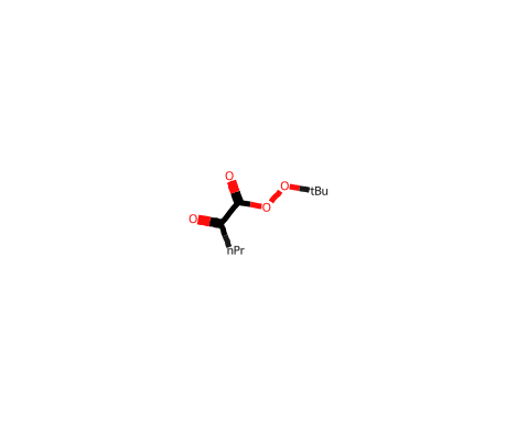 CCCC(=O)C(=O)OOC(C)(C)C